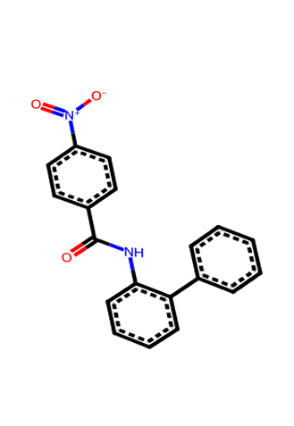 O=C(Nc1ccccc1-c1ccccc1)c1ccc([N+](=O)[O-])cc1